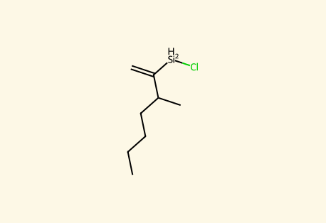 C=C([SiH2]Cl)C(C)CCCC